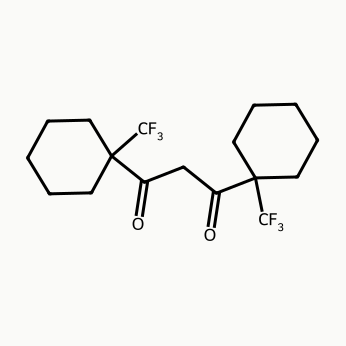 O=C(CC(=O)C1(C(F)(F)F)CCCCC1)C1(C(F)(F)F)CCCCC1